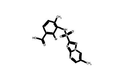 Cc1cnc2nc(S(=O)(=O)Nc3c(C)ccc(C(=O)O)c3Br)nn2c1